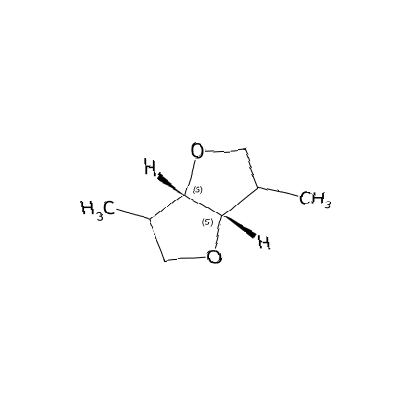 CC1CO[C@H]2C(C)CO[C@@H]12